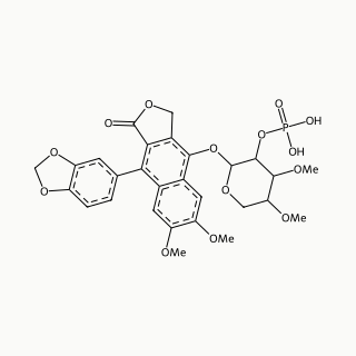 COc1cc2c(OC3OCC(OC)C(OC)C3OP(=O)(O)O)c3c(c(-c4ccc5c(c4)OCO5)c2cc1OC)C(=O)OC3